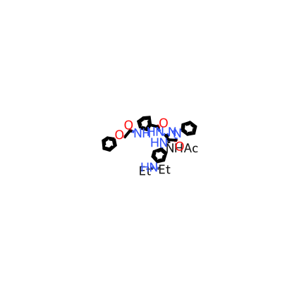 CC(=O)NC1(Nc2ccccc2)C(=O)N(c2ccccc2)N=C1NC(=O)c1cccc(NC(=O)COc2ccccc2)c1.CCNCC